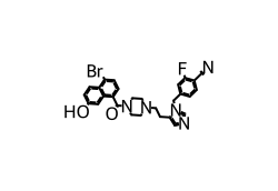 N#Cc1ccc(Cn2cncc2CCN2CCN(C(=O)c3ccc(Br)c4ccc(O)cc34)CC2)cc1F